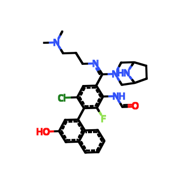 CN(C)CCC/N=C(\c1cc(Cl)c(-c2cc(O)cc3ccccc23)c(F)c1NC=O)N1CC2CCC(C1)N2